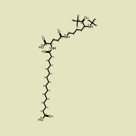 CC(C)(C)NC(CCCCNC(=O)CCC(NC(=O)CCCCCCCCCCCCCCC(=O)O)C(=O)O)C(=O)C(C)(C)C